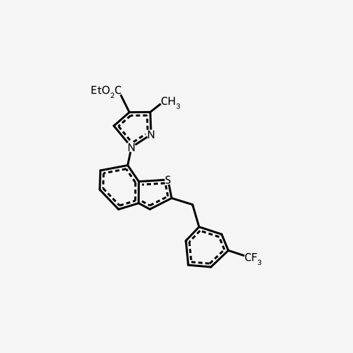 CCOC(=O)c1cn(-c2cccc3cc(Cc4cccc(C(F)(F)F)c4)sc23)nc1C